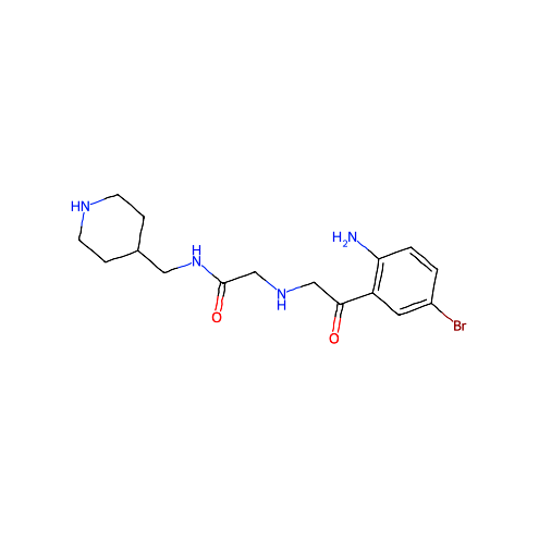 Nc1ccc(Br)cc1C(=O)CNCC(=O)NCC1CCNCC1